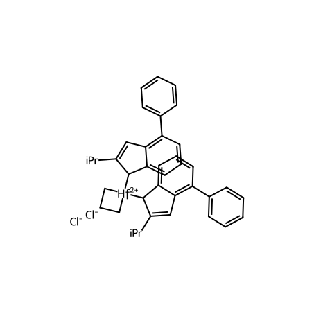 CC(C)C1=Cc2c(-c3ccccc3)cccc2[CH]1[Hf+2]1([CH]2C(C(C)C)=Cc3c(-c4ccccc4)cccc32)[CH2]C[CH2]1.[Cl-].[Cl-]